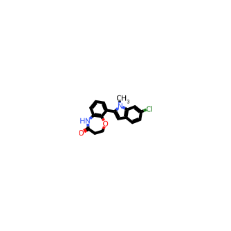 Cn1c(-c2cccc3c2OCCC(=O)N3)cc2ccc(Cl)cc21